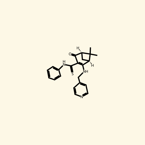 CC1(C)[C@@H]2C[C@H]1C(=O)C(C(=S)Nc1ccccc1)=C2NCc1ccncc1